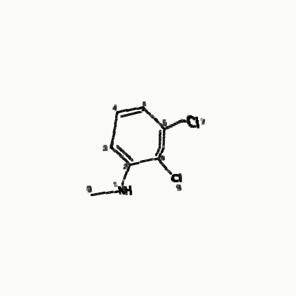 CNc1cc[c]c(Cl)c1Cl